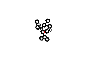 c1ccc(-c2ccc(N(c3ccc(-c4cc5ccccc5c5ccccc45)cc3)c3cccc4c3sc3ccccc34)cc2-c2cccc3oc4ccccc4c23)cc1